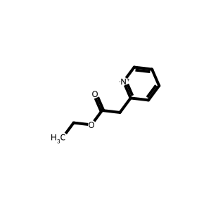 CCOC(=O)CC1=[N+]C=CC=C1